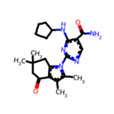 Cc1c2c(n(-c3ncc(C(N)=O)c(NC4CCCC4)n3)c1C)CC(C)(C)CC2=O